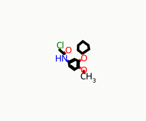 COc1ccc(NC(=O)CCl)cc1OC1CCCCC1